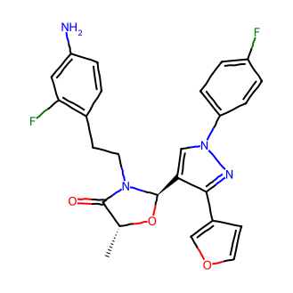 C[C@H]1O[C@H](c2cn(-c3ccc(F)cc3)nc2-c2ccoc2)N(CCc2ccc(N)cc2F)C1=O